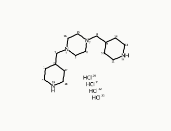 C1CC(CN2CCN(CC3CCNCC3)CC2)CCN1.Cl.Cl.Cl.Cl